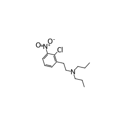 CCCN(CCC)CCc1cccc([N+](=O)[O-])c1Cl